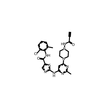 C#CC(=O)NN1CCN(c2cc(Nc3ncc(C(=O)Nc4c(C)cccc4Cl)s3)nc(C)n2)CC1